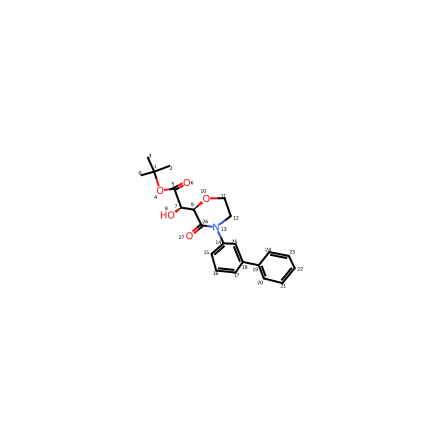 CC(C)(C)OC(=O)[C@H](O)[C@H]1OCCN(c2cccc(-c3ccccc3)c2)C1=O